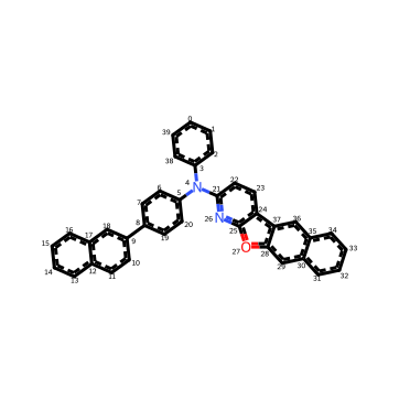 c1ccc(N(c2ccc(-c3ccc4ccccc4c3)cc2)c2ccc3c(n2)oc2cc4ccccc4cc23)cc1